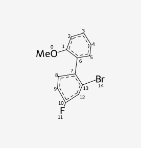 COc1[c]cccc1-c1ccc(F)cc1Br